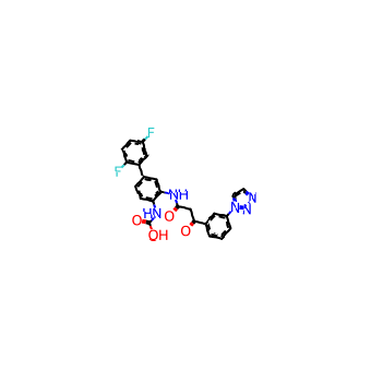 O=C(O)Nc1ccc(-c2cc(F)ccc2F)cc1NC(=O)CC(=O)c1cccc(-n2ccnn2)c1